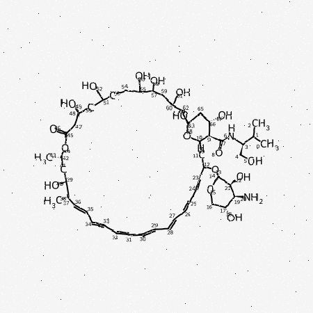 CC(C)[C@@H](CO)NC(=O)[C@H]1[C@@H]2CC(O[C@@H]3OC[C@@H](O)[C@H](N)[C@@H]3O)/C=C/C=C/C=C/C=C/C=C/C=C/C=C/[C@H](C)[C@@H](O)C[C@H](C)OC(=O)CC(O)CC(O)CCC(O)C(O)CC(O)CC(O)(C[C@@H]1O)O2